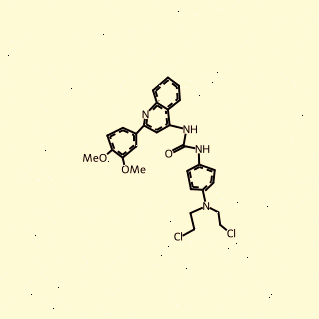 COc1ccc(-c2cc(NC(=O)Nc3ccc(N(CCCl)CCCl)cc3)c3ccccc3n2)cc1OC